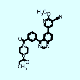 CCC(=O)N1CCN(C(=O)c2cccc(-c3ncnc4ccc(-c5cnc(OC)c(C#N)c5)cc34)c2)CC1